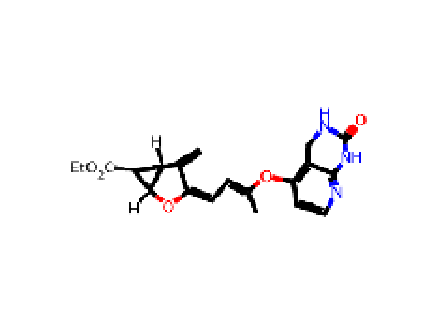 C=C1/C(=C\C=C(/C)Oc2ccnc3c2CNC(=O)N3)O[C@H]2[C@@H]1[C@@H]2C(=O)OCC